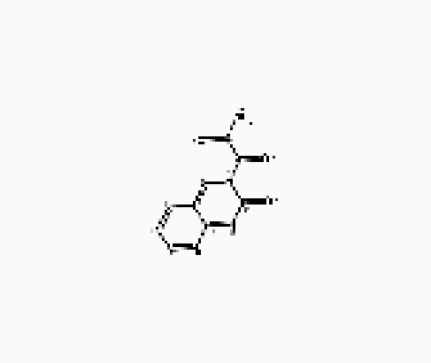 NC(=O)C(=O)n1cc2ccccc2nc1=O